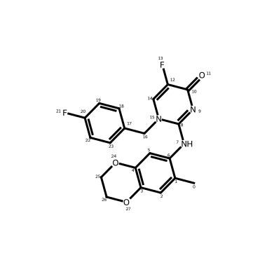 Cc1cc2c(cc1Nc1nc(=O)c(F)cn1Cc1ccc(F)cc1)OCCO2